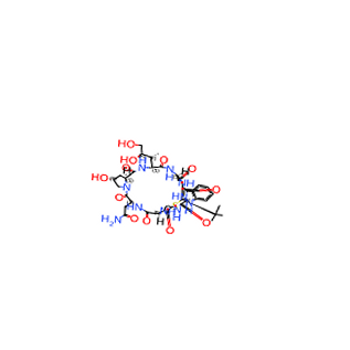 C[C@H]([C@@H]1NC(=O)[C@@H]2C[C@@H](O)CN2C(=O)[C@H](CC(N)=O)NC(=O)[C@@H]2CSc3[nH]c4ccccc4c3C[C@H](NC1=O)C(=O)NCC(=O)N[C@@H](C(C)(C)C)C(=O)NCC(=O)N2)[C@@H](O)CO